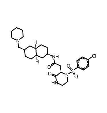 O=C(C[C@@H]1C(=O)NCCN1S(=O)(=O)c1ccc(Cl)cc1)N[C@@H]1CC[C@@H]2C[C@H](CN3CCCCC3)CC[C@@H]2C1